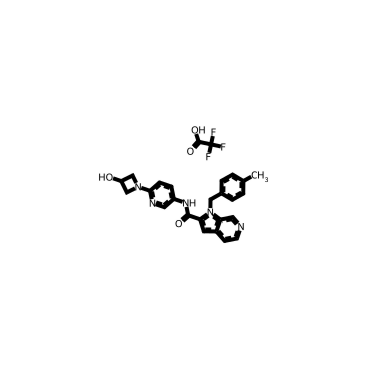 Cc1ccc(Cn2c(C(=O)Nc3ccc(N4CC(O)C4)nc3)cc3ccncc32)cc1.O=C(O)C(F)(F)F